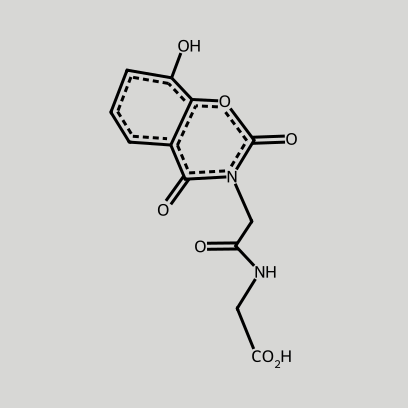 O=C(O)CNC(=O)Cn1c(=O)oc2c(O)cccc2c1=O